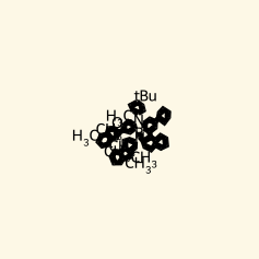 Cc1cc(C(C)(C)C)ccc1N1c2cc3oc4cc5c(cc4c3cc2B2c3c(cc(-c4ccccc4)cc31)-c1c(ccc3ccccc13)N2c1ccc2c(c1)C(C)(C)c1ccccc1-2)C(C)(C)CCC5(C)C